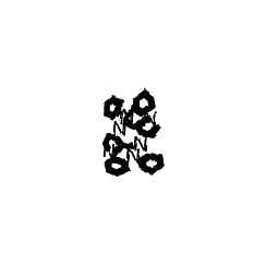 c1ccc(N(/C2=N/c3ccncc3/C(N(c3ccccc3)c3ccccc3)=N\c3ccncc32)c2ccccc2)cc1